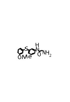 COc1cccc(Sc2cccc(NC(=O)CN)c2)c1